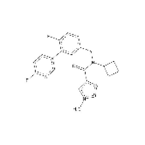 Cn1cnc(C(=O)N(Cc2ccc(F)c(-c3ccc(F)nc3)c2)C2CCC2)c1